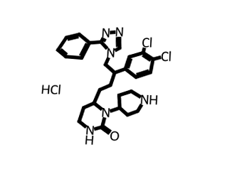 Cl.O=C1NCCC(CCC(Cn2cnnc2-c2ccccc2)c2ccc(Cl)c(Cl)c2)N1C1CCNCC1